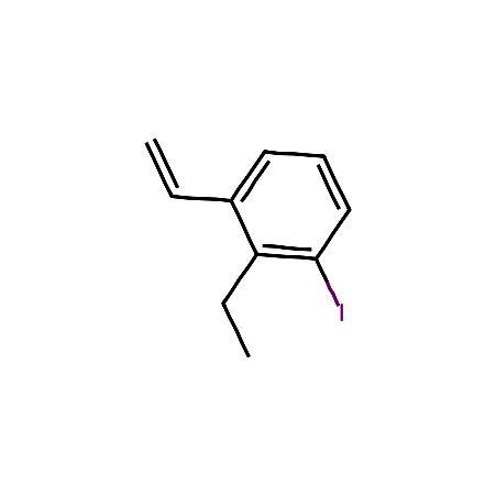 C=Cc1cccc(I)c1CC